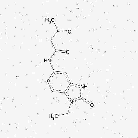 CCn1c(=O)[nH]c2cc(NC(=O)CC(C)=O)ccc21